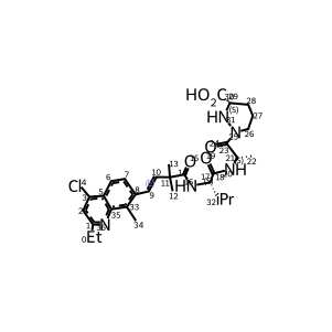 CCc1cc(Cl)c2ccc(/C=C/C(C)(C)C(=O)N[C@H](C(=O)N[C@@H](C)C(=O)N3CCC[C@@H](C(=O)O)N3)C(C)C)c(C)c2n1